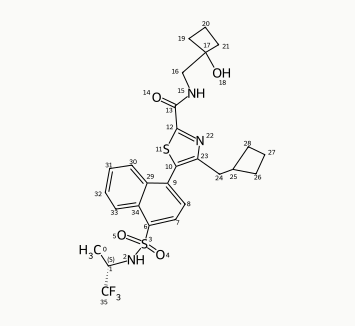 C[C@H](NS(=O)(=O)c1ccc(-c2sc(C(=O)NCC3(O)CCC3)nc2CC2CCC2)c2ccccc12)C(F)(F)F